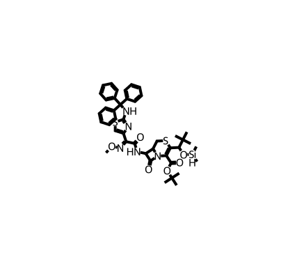 CON=C(C(=O)NC1C(=O)N2C(C(=O)OC(C)(C)C)=C(C(O[SiH](C)C)C(C)(C)C)SCC12)c1csc(NC(c2ccccc2)(c2ccccc2)c2ccccc2)n1